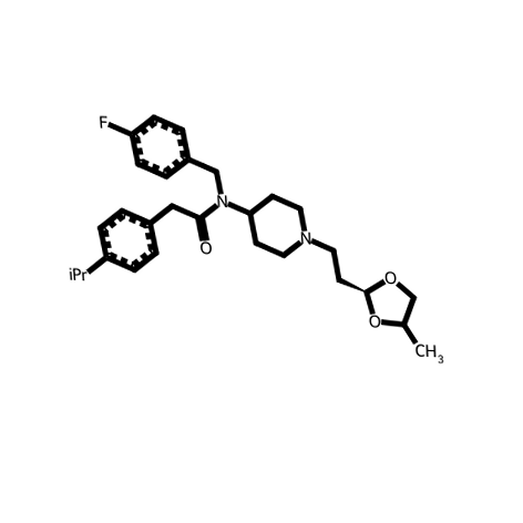 CC1CO[C@H](CCN2CCC(N(Cc3ccc(F)cc3)C(=O)Cc3ccc(C(C)C)cc3)CC2)O1